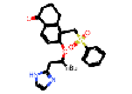 CCCCC(Cc1ncc[nH]1)Oc1ccc2c(c1CS(=O)(=O)c1ccccc1)CCCC2=O